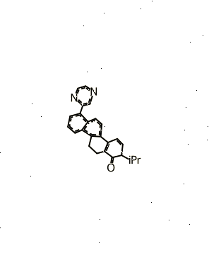 CC(C)C1C=CC2=C(CCc3c2ccc2c(-c4cnccn4)cccc32)C1=O